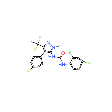 Cn1nc(C(C)(F)F)c(-c2ccc(F)cc2)c1NC(=O)Nc1ccc(F)cc1F